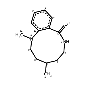 CC1CCNC(=O)c2ccccc2N(C)CC1